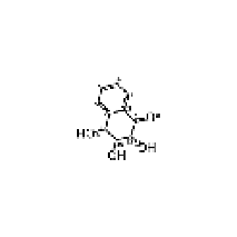 O=C1c2ccccc2C(O)C(O)C1O